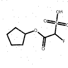 O=C(OC1CCCC1)C(F)S(=O)(=O)O